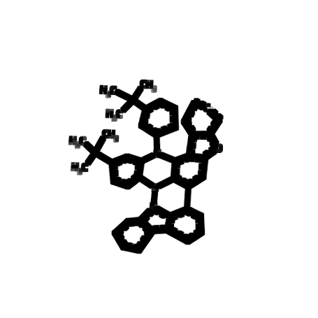 CC(C)(C)c1cccc(N2c3cc(C(C)(C)C)ccc3B3c4c(cc5oc6ccccc6c5c42)-c2cccc4c5ccccc5n3c24)c1